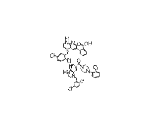 O=C(O)c1ccccc1-c1cnc2c(c1)N(Cc1cc(Cl)ccc1Cl)CCN2.O=C(c1cnc2c(c1)N(Cc1cc(Cl)ccc1Cl)CCN2)N1CCN(c2ccccc2Cl)CC1